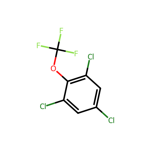 FC(F)(F)Oc1c(Cl)cc(Cl)cc1Cl